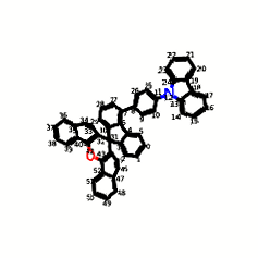 c1ccc2c(c1)-c1c(-c3ccc(-n4c5ccccc5c5ccccc54)cc3)cccc1C21c2ccc3ccccc3c2Oc2c1ccc1ccccc21